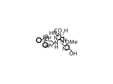 CCCC(CCO[Si](c1ccccc1)(c1ccccc1)C(C)(C)C)Nc1nc(NC(=O)O)nc2cnn(Cc3ncc(CO)cc3OC)c12